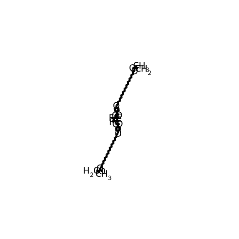 C=C(C)C(=O)OCCCCCCCCCCCCCCCCCCCCOc1ccc(C(=O)Oc2c(F)c(F)c(OC(=O)c3ccc(OCCCCCCCCCCCCCCCCCCCCOC(=O)C(=C)C)cc3)c(F)c2F)cc1